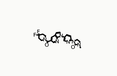 CN1CCN(c2ccc(-n3ccc4cc(C(=O)N5CCC(F)(F)CC5)cnc43)cn2)C1=O